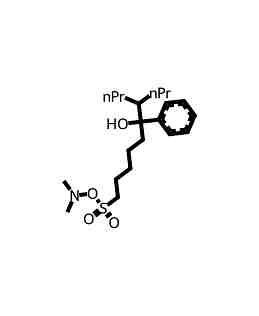 CCCC(CCC)C(O)(CCCCCS(=O)(=O)ON(C)C)c1ccccc1